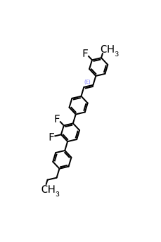 CCCc1ccc(-c2ccc(-c3ccc(/C=C/c4ccc(C)c(F)c4)cc3)c(F)c2F)cc1